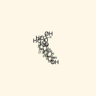 CC(CO)OC(O)C(CO)C(=O)C12CCCC(C)C1C1=CCC3C(C)(CCC4C(C)C(O)CCC43C)C1CC2